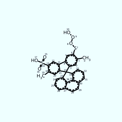 Cc1cc2c(cc1SOOO)-c1cc(S(=O)(=O)O)c(C)cc1C21c2cccc3ccc4cccc1c4c23